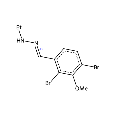 CCN/N=C/c1ccc(Br)c(OC)c1Br